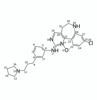 [O-][n+]1c(Nc2cccc(CCCN3CCCC3)c2)ncc2c1-c1ccc(Cl)cc1NCC2